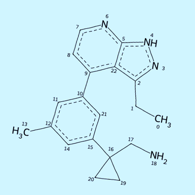 CCc1n[nH]c2nccc(-c3cc(C)cc(C4(CN)CC4)c3)c12